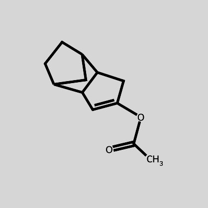 CC(=O)OC1=CC2C3CCC(C3)C2C1